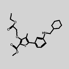 CCOC(=O)COc1c(C(=O)OC)sc(-c2cccc(NCC3CCCCC3)c2)c1C